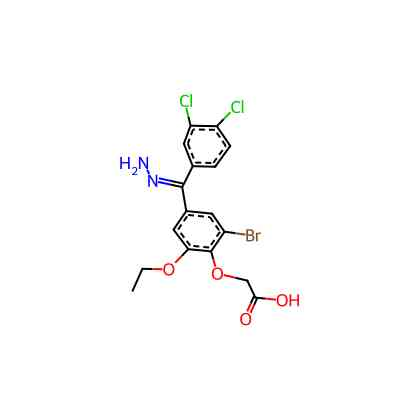 CCOc1cc(C(=NN)c2ccc(Cl)c(Cl)c2)cc(Br)c1OCC(=O)O